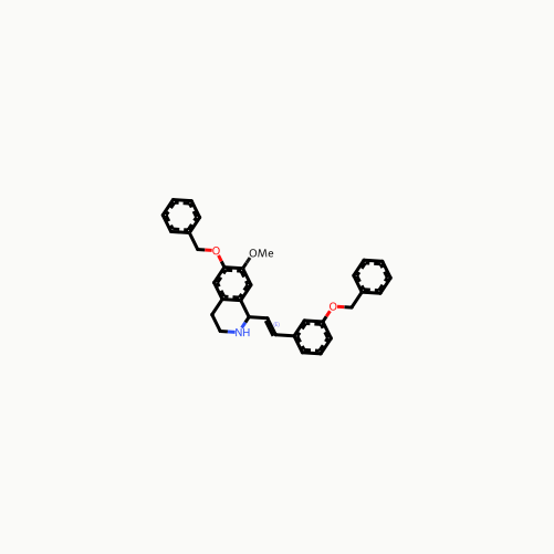 COc1cc2c(cc1OCc1ccccc1)CCNC2/C=C/c1cccc(OCc2ccccc2)c1